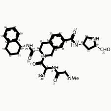 CNCC(=O)NC(C(=O)N1Cc2cc(C(=O)N[C@@H]3CN[C@H](C=O)C3)ccc2C[C@H]1C(=O)N[C@@H]1CCCc2ccccc21)C(C)(C)C